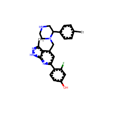 CCc1ccc(C2CNCCN2Cc2cc(-c3ccc(O)cc3F)nc3[nH]nc(C)c23)cc1